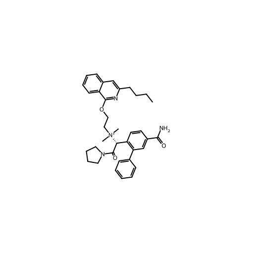 CCCCc1cc2ccccc2c(OCC[N+](C)(C)[C@@H](C(=O)N2CCCC2)c2ccc(C(N)=O)cc2-c2ccccc2)n1